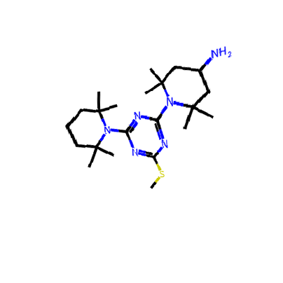 CSc1nc(N2C(C)(C)CCCC2(C)C)nc(N2C(C)(C)CC(N)CC2(C)C)n1